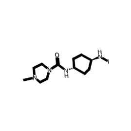 CN1CCN(C(=O)N[C@H]2CC[C@H](NI)CC2)CC1